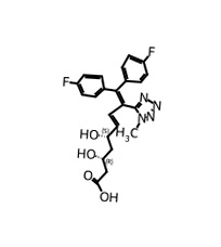 Cn1nnnc1C(C=C[C@@H](O)C[C@@H](O)CC(=O)O)=C(c1ccc(F)cc1)c1ccc(F)cc1